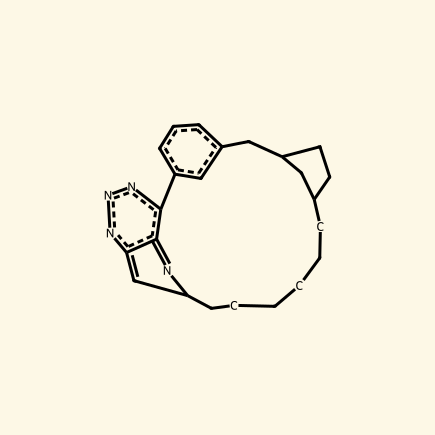 C1=c2nnnc3c2=NC1CCCCCCC1CCC(Cc2cccc-3c2)C1